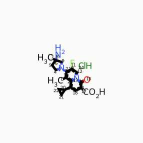 Cc1c(N2CCC(C)(N)C2)c(F)cn2c(=O)c(C(=O)O)cc(C3CC3)c12.Cl